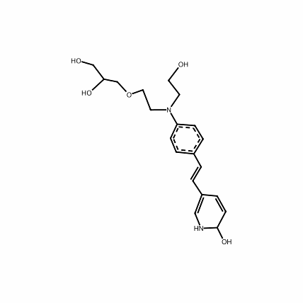 OCCN(CCOCC(O)CO)c1ccc(/C=C/C2=CNC(O)C=C2)cc1